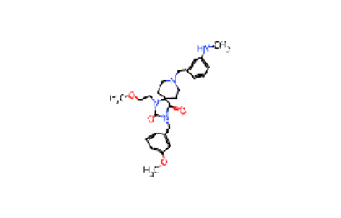 CNc1cccc(CN2CCC3(CC2)C(=O)N(Cc2cccc(OC)c2)C(=O)N3CCOC)c1